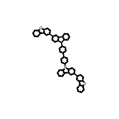 c1ccc2c(c1)-c1cc(-c3ccc4oc5ccccc5c4c3)ccc1C2c1ccc(-c2ccc(-n3c4ccccc4c4cc(-c5ccc6sc7ccccc7c6c5)ccc43)cc2)cc1